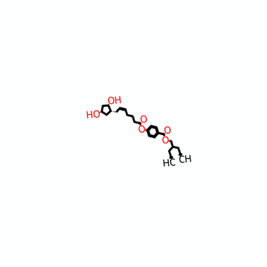 C#CCC(CC#C)COC(=O)c1ccc(OC(=O)CCC/C=C\C[C@@H]2C[C@H](O)C[C@@H]2O)cc1